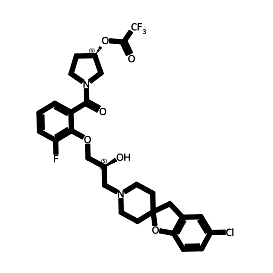 O=C(c1cccc(F)c1OC[C@@H](O)CN1CCC2(CC1)Cc1cc(Cl)ccc1O2)N1CC[C@H](OC(=O)C(F)(F)F)C1